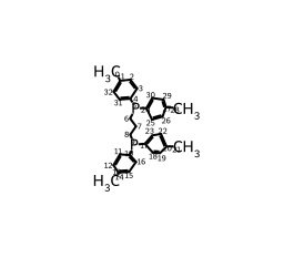 Cc1ccc(P(CCCP(c2ccc(C)cc2)c2ccc(C)cc2)c2ccc(C)cc2)cc1